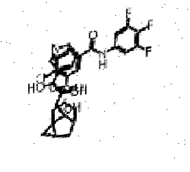 O=C(Nc1cc(F)c(F)c(F)c1)c1ccc(Cl)c(S(=O)(=O)[C@@H]2CC3CC4CC4(C2)[C@@]3(O)CC(O)C(O)c2cccnc2)c1